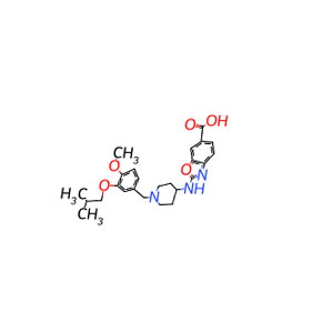 COc1ccc(CN2CCC(Nc3nc4ccc(C(=O)O)cc4o3)CC2)cc1OCC(C)C